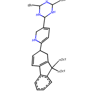 CCCCCCCCC1(CCCCCCCC)C2=C(C=CC(C3=CC=C(C4NC(C(C)(C)C)NC(C(C)(C)C)N4)CN3)C2)c2ccccc21